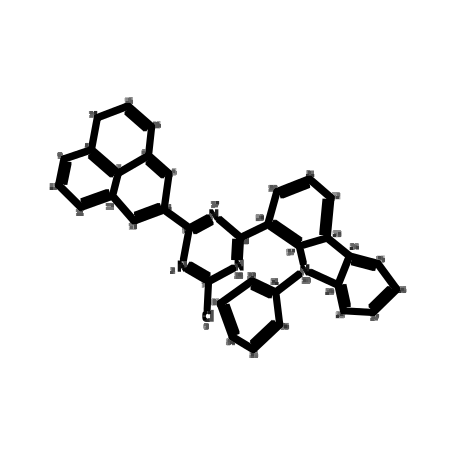 Clc1nc(-c2cc3c4c(cccc4c2)CC=C3)nc(-c2cccc3c4ccccc4n(-c4ccccc4)c23)n1